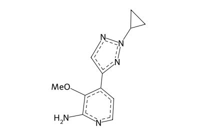 COc1c(-c2cnn(C3CC3)n2)ccnc1N